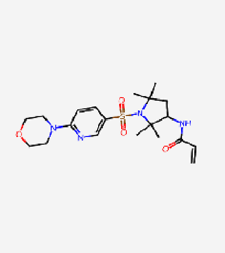 C=CC(=O)NC1CC(C)(C)N(S(=O)(=O)c2ccc(N3CCOCC3)nc2)C1(C)C